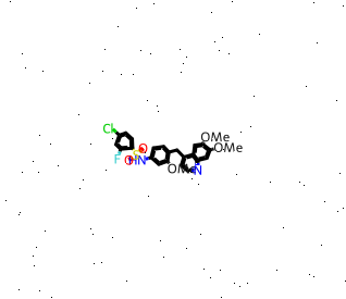 COc1cc(NS(=O)(=O)c2ccc(Cl)cc2F)ccc1Cc1ccnc2cc(OC)c(OC)cc12